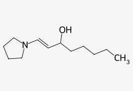 CCCCCC(O)/C=C/N1CCCC1